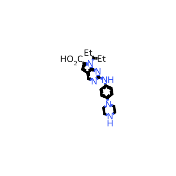 CCC(CC)n1c(C(=O)O)cc2cnc(Nc3ccc(N4CCNCC4)cc3)nc21